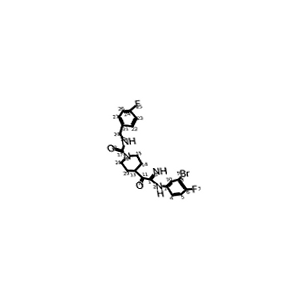 N=C(Nc1ccc(F)c(Br)c1)C(=O)C1CCN(C(=O)NCc2ccc(F)cc2)CC1